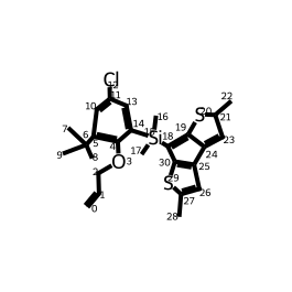 C=CCOc1c(C(C)(C)C)cc(Cl)cc1[Si](C)(C)C1=C2SC(C)C=C2c2cc(C)sc21